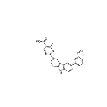 Cc1nc(N2CCc3[nH]c4ccc(-c5cccc(C=O)c5)cc4c3C2)ncc1C(=O)O